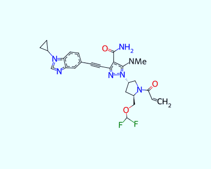 C=CC(=O)N1C[C@@H](n2nc(C#Cc3ccc4c(c3)ncn4C3CC3)c(C(N)=O)c2NC)C[C@@H]1COC(F)F